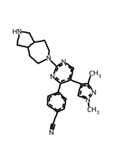 Cc1nn(C)cc1-c1cnc(N2CCC3CNCC3CC2)nc1-c1ccc(C#N)cc1